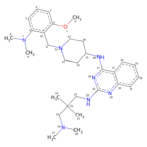 COc1cccc(N(C)C)c1CN1CCC(Nc2nc(NCC(C)(C)CN(C)C)nc3ccccc23)CC1